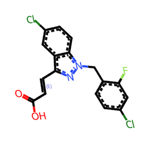 O=C(O)/C=C/c1nn(Cc2ccc(Cl)cc2F)c2ccc(Cl)cc12